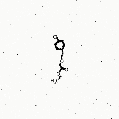 CCOC(=O)COCCc1ccc(Cl)cc1